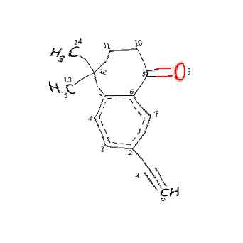 C#Cc1ccc2c(c1)C(=O)CCC2(C)C